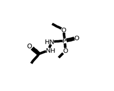 COP(=O)(NNC(C)=O)OC